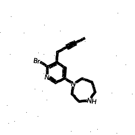 CC#CCc1cc(N2CCCNCC2)cnc1Br